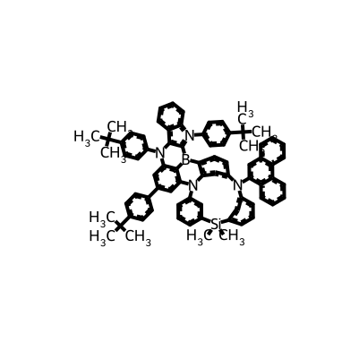 CC(C)(C)c1ccc(-c2cc3c4c(c2)N(c2ccc(C(C)(C)C)cc2)c2c(n(-c5ccc(C(C)(C)C)cc5)c5ccccc25)B4c2ccc4cc2N3c2cccc(c2)[Si](C)(C)c2cccc(c2)N4c2cc3ccccc3c3ccccc23)cc1